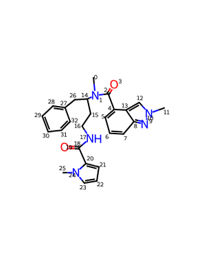 CN(C(=O)c1cccc2nn(C)cc12)C(CCNC(=O)c1cccn1C)Cc1ccccc1